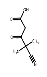 CC(C)(C#N)C(=O)CC(=O)O